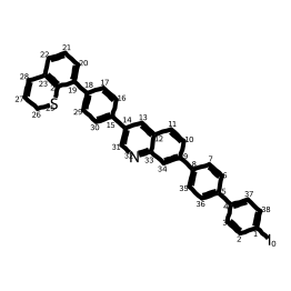 Ic1ccc(-c2ccc(-c3ccc4cc(-c5ccc(-c6cccc7c6SCC=C7)cc5)cnc4c3)cc2)cc1